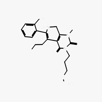 CC(C)CCC1=C(c2ccccc2C(C)C)NCc2c1c(=O)n(CCCOC=O)c(=O)n2C